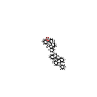 CC1(C)c2ccc(-c3ccc(-c4c5ccccc5c(-c5ccccc5)c5ccccc45)c4ccccc34)cc2-c2ccc3ccc4oc5ccccc5c4c3c21